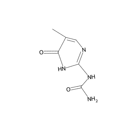 Cc1cnc(NC(N)=O)[nH]c1=O